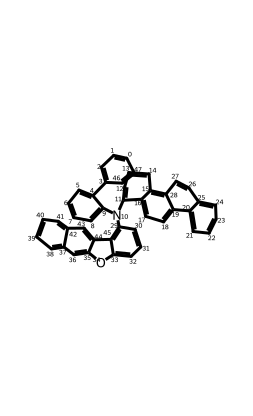 c1ccc(-c2ccccc2N(c2cccc3c2ccc2c4ccccc4ccc32)c2cccc3oc4cc5ccccc5cc4c23)cc1